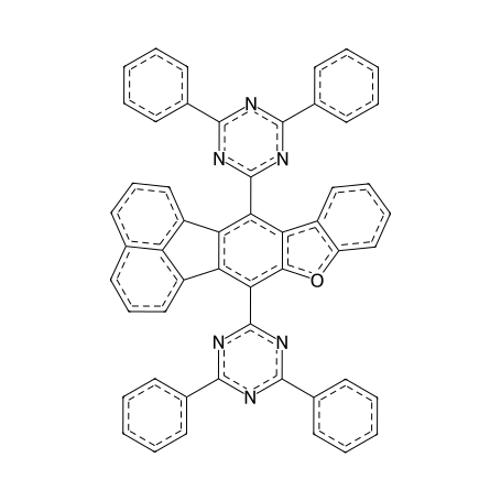 c1ccc(-c2nc(-c3ccccc3)nc(-c3c4c(c(-c5nc(-c6ccccc6)nc(-c6ccccc6)n5)c5c3oc3ccccc35)-c3cccc5cccc-4c35)n2)cc1